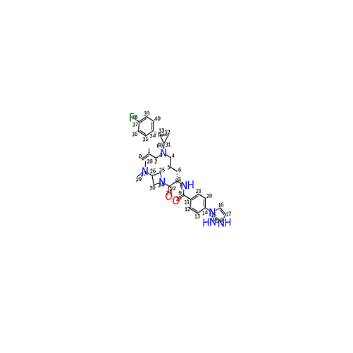 C=CCN(CCC[C@H](NC(=O)c1ccc(N2C=CNN2)cc1)C(=O)N1CC(N(C)C)C1)[C@@H]1C[C@H]1c1ccc(F)cc1